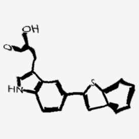 O=C(O)Cc1c[nH]c2ccc(-c3cc4ccccc4s3)cc12